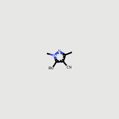 CCC(C)c1c(C#N)c(C)nn1C